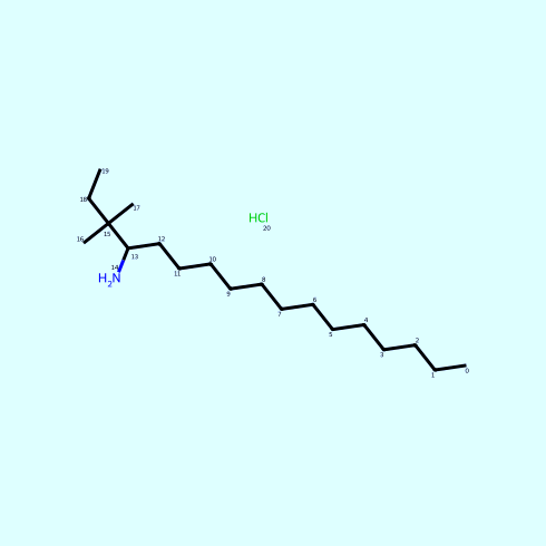 CCCCCCCCCCCCCC(N)C(C)(C)CC.Cl